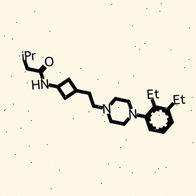 CCc1cccc(N2CCN(CCC3CC(NC(=O)CC(C)C)C3)CC2)c1CC